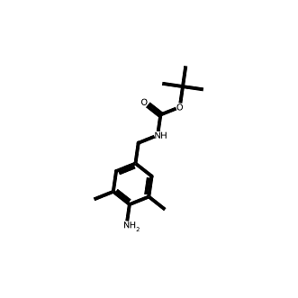 Cc1cc(CNC(=O)OC(C)(C)C)cc(C)c1N